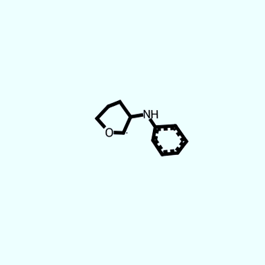 [CH]1OCCCC1Nc1ccccc1